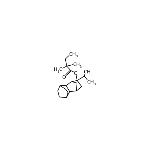 CCC(C)(C)C(=O)OC1(C(C)C)CC2CC1C1C3CCC(CC3)C21